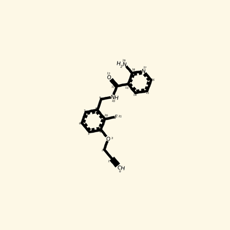 C#CCOc1cccc(CNC(=O)c2cccnc2N)c1F